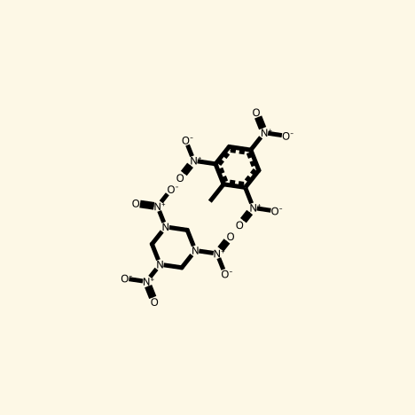 Cc1c([N+](=O)[O-])cc([N+](=O)[O-])cc1[N+](=O)[O-].O=[N+]([O-])N1CN([N+](=O)[O-])CN([N+](=O)[O-])C1